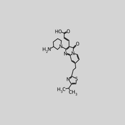 CC(C)c1csc(CCc2ccn3c(=O)c(/C=C/C(=O)O)c(N4CCCC(N)C4)nc3c2)n1